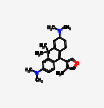 Cc1cocc1C1=C2C=CC(=[N+](C)C)C=C2[Si](C)(C)c2cc(N(C)C)ccc21